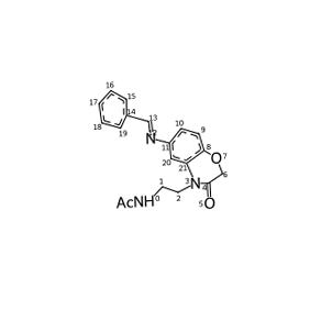 CC(=O)NCCN1C(=O)COc2ccc(N=Cc3ccccc3)cc21